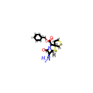 NC1C(=O)N2C(C(=O)OCc3ccccc3)C3(CCSC3)S[C@@H]12